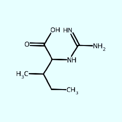 CCC(C)C(NC(=N)N)C(=O)O